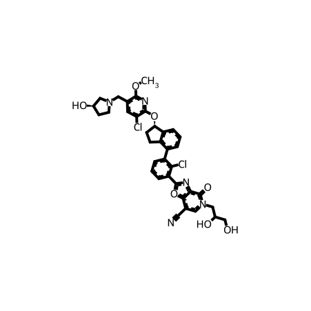 COc1nc(O[C@H]2CCc3c(-c4cccc(-c5nc6c(=O)n(CC(O)CO)cc(C#N)c6o5)c4Cl)cccc32)c(Cl)cc1CN1CC[C@@H](O)C1